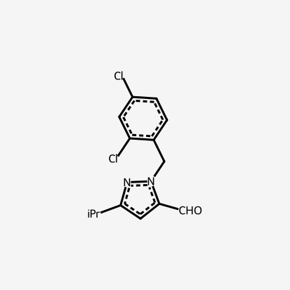 CC(C)c1cc(C=O)n(Cc2ccc(Cl)cc2Cl)n1